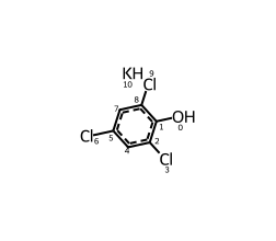 Oc1c(Cl)cc(Cl)cc1Cl.[KH]